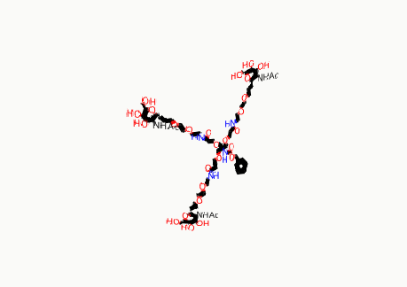 CC(=O)N[C@@H]1[C@@H](O)[C@@H](O)[C@@H](CO)O[C@@H]1CCCOCCOCCNC(=O)CCOCC(COCCC(=O)NCCOCCOCCC[C@H]1O[C@H](CO)[C@H](O)[C@H](O)[C@H]1NC(C)=O)(COCCC(=O)NCCOCCOCCC[C@H]1O[C@H](CO)[C@H](O)[C@H](O)[C@H]1NC(C)=O)NC(=O)OCc1ccccc1